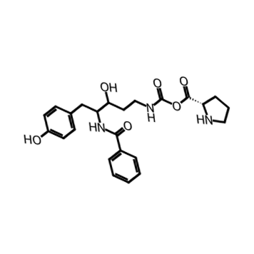 O=C(NCCC(O)C(Cc1ccc(O)cc1)NC(=O)c1ccccc1)OC(=O)[C@@H]1CCCN1